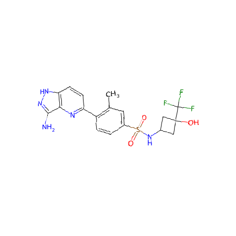 Cc1cc(S(=O)(=O)NC2CC(O)(C(F)(F)F)C2)ccc1-c1ccc2[nH]nc(N)c2n1